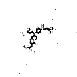 CC(C)CCN(c1ccc(NCCC(C)O)cc1)C1CCN(C(=O)C(N)CC(C)C)CC1